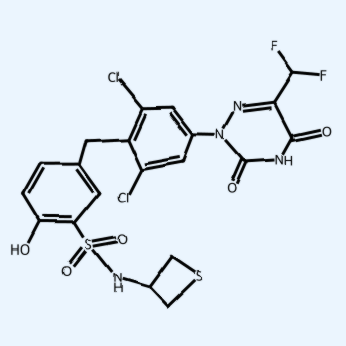 O=c1[nH]c(=O)n(-c2cc(Cl)c(Cc3ccc(O)c(S(=O)(=O)NC4CSC4)c3)c(Cl)c2)nc1C(F)F